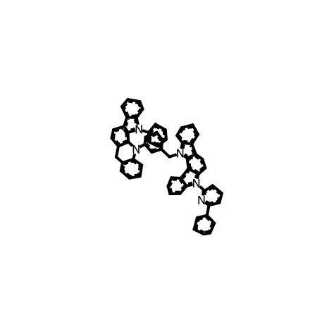 c1ccc(-c2cccc(-n3c4ccccc4c4c5c(ccc43)c3ccccc3n5Cc3cccc(N4c5ccccc5Cc5ccc6c7ccccc7n(-c7ccccc7)c6c54)c3)n2)cc1